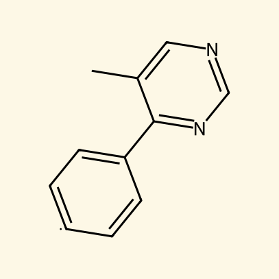 Cc1cncnc1-c1cc[c]cc1